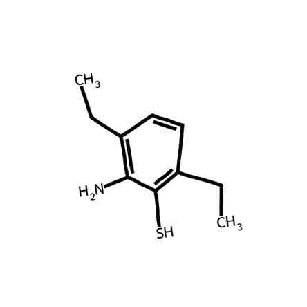 CCc1ccc(CC)c(S)c1N